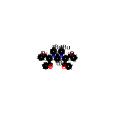 CC(C)(C)c1ccc2c(c1)B1c3cc(C(C)(C)C)ccc3N(c3cc(-c4coc5ccccc45)cc(-c4coc5ccccc45)c3)c3cc(C(C)(C)C)cc(c31)N2c1cc(-c2coc3ccccc23)cc(-c2coc3ccccc23)c1